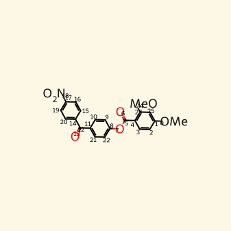 COc1ccc(C(=O)Oc2ccc(C(=O)c3ccc([N+](=O)[O-])cc3)cc2)c(OC)c1